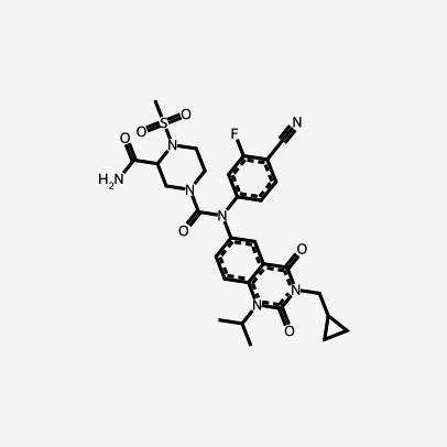 CC(C)n1c(=O)n(CC2CC2)c(=O)c2cc(N(C(=O)N3CCN(S(C)(=O)=O)C(C(N)=O)C3)c3ccc(C#N)c(F)c3)ccc21